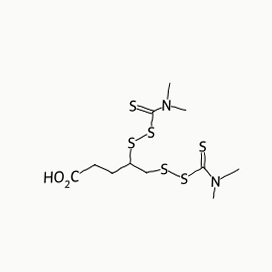 CN(C)C(=S)SSCC(CCC(=O)O)SSC(=S)N(C)C